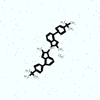 CC1=Cc2c(-c3ccc(C(C)(C)C)cc3)cccc2[CH]1[Zr+2][CH]1C(C)=Cc2c(-c3ccc(C(C)(C)C)cc3)cccc21.[Cl-].[Cl-]